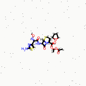 CO/N=C(\C(=O)N[C@@H]1C(=O)N2C(C(=O)OC(C)OC(C)=O)=C([C@@H]3CCCO3)CS[C@H]12)c1csc(N)n1